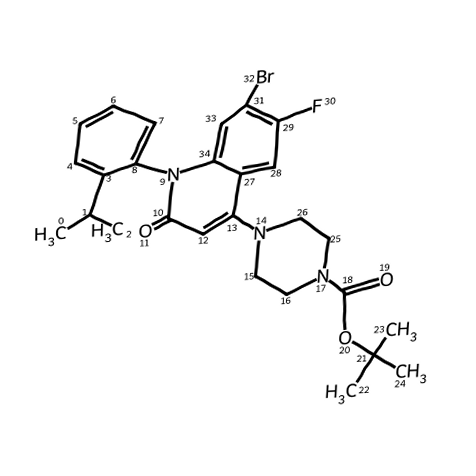 CC(C)c1ccccc1-n1c(=O)cc(N2CCN(C(=O)OC(C)(C)C)CC2)c2cc(F)c(Br)cc21